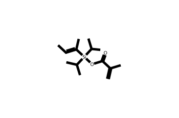 C=C(C)C(=O)O[Si](C(C)=CC)(C(C)C)C(C)C